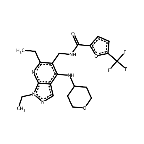 CCc1nc2c(cnn2CC)c(NC2CCOCC2)c1CNC(=O)c1ccc(C(F)(F)F)o1